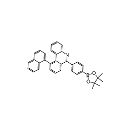 CC1(C)OB(c2ccc(-c3nc4ccccc4c4c(-c5cccc6ccccc56)cccc34)cc2)OC1(C)C